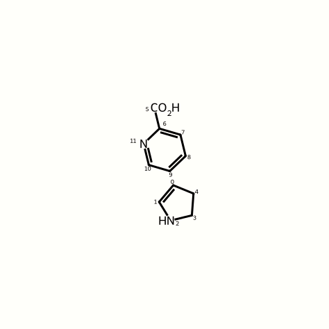 C1=CNCC1.O=C(O)c1ccccn1